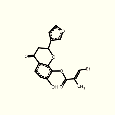 CCC=C(C)C(=O)Oc1c(O)ccc2c1OC(c1ccoc1)CC2=O